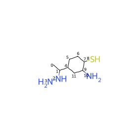 CC(NN)C1CCC(S)C(N)C1